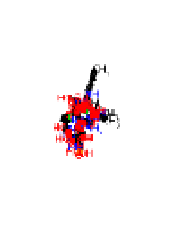 CCCCCCCCCCNCCN[C@@]1(C)C[C@H](O[C@H]2[C@H](Oc3c4cc5cc3Oc3ccc(cc3Cl)[C@@H](O)[C@@H]3NC(=O)[C@H](NC(=O)[C@@H]5NC(=O)[C@H](CC(N)=O)NC(=O)C(NC(=O)[C@@H](CC(C)C)NC)[C@H](O)c5ccc(c(Cl)c5)O4)c4ccc(O)c(c4)-c4c(cc(O)c(CNCP(=O)(O)O)c4O)[C@@H](C(=O)O)NC3=O)O[C@H](CO)C(O)[C@@H]2O)O[C@@H](C)[C@H]1O